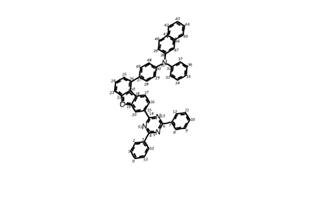 c1ccc(-c2nc(-c3ccccc3)nc(-c3ccc4c(c3)oc3cccc(-c5ccc(N(c6ccccc6)c6ccc7ccccc7c6)cc5)c34)n2)cc1